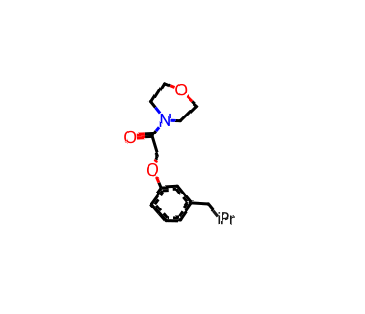 CC(C)Cc1cccc(OCC(=O)N2CCOCC2)c1